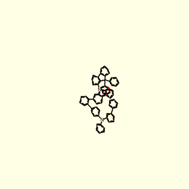 c1ccc(-c2cccc(N(c3ccccc3)c3ccc(-c4ccccc4-c4ccc5c6ccccc6n(-c6cccc7c6C(c6ccccc6)(c6ccccc6)c6ccccc6-7)c5c4)cc3)c2)cc1